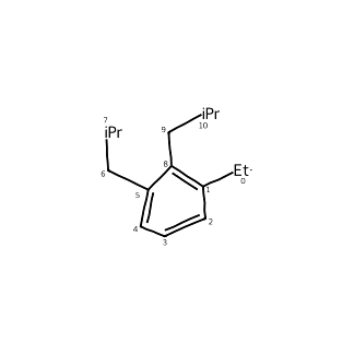 C[CH]c1cccc(CC(C)C)c1CC(C)C